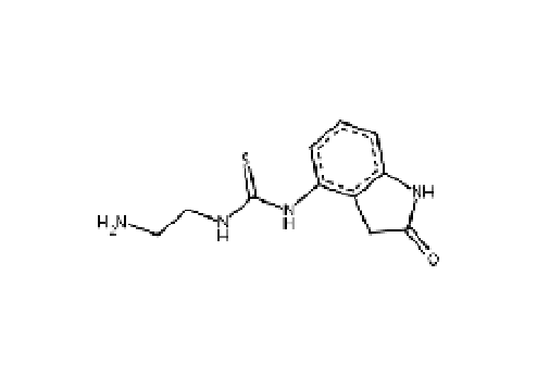 NCCNC(=S)Nc1cccc2c1CC(=O)N2